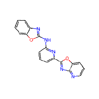 c1cc(Nc2nc3ccccc3o2)nc(-c2nc3ncccc3o2)c1